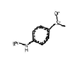 CC(C)Nc1ccc([S+](C)[O-])cc1